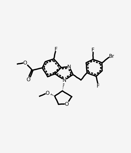 COC(=O)c1cc(F)c2nc(Cc3cc(F)c(Br)cc3F)n([C@@H]3COC[C@@H]3OC)c2c1